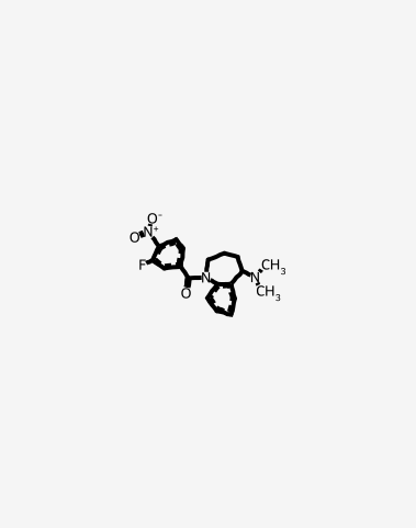 CN(C)C1CCCN(C(=O)c2ccc([N+](=O)[O-])c(F)c2)c2ccccc21